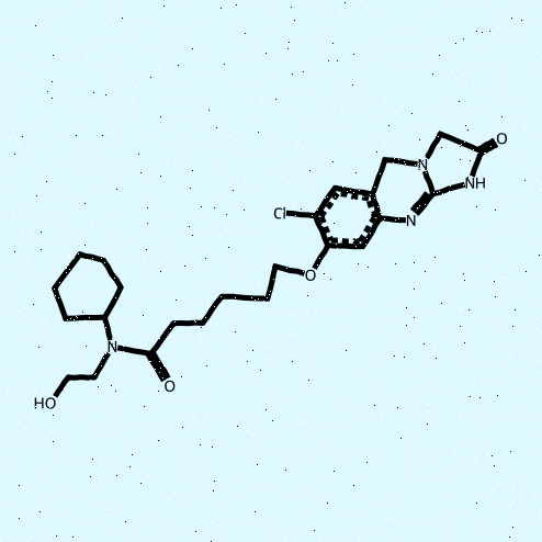 O=C1CN2Cc3cc(Cl)c(OCCCCCC(=O)N(CCO)C4CCCCC4)cc3N=C2N1